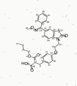 CCCCOC(=O)C(Cc1ccc(OCCn2c(=O)sc3cc(C(=NOC)c4ccccc4)ccc32)cc1)C(=O)O